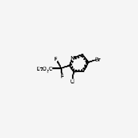 CCOC(=O)C(F)(F)c1ncc(Br)cc1Cl